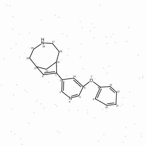 C1=C(c2cncc(Oc3ccccc3)c2)C2CCNCCC1C2